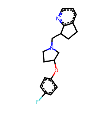 Fc1ccc(OC2CCN(CC3CCc4cccnc43)C2)cc1